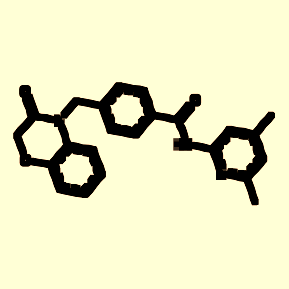 Cc1cc(C)nc(NC(=O)c2ccc(CN3C(=O)COc4ccccc43)cc2)c1